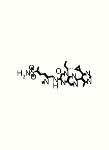 C=N/C(=C\C=C(/C)S(N)(=O)=O)CNc1nc2cnc(-c3c(C)ncnc3C3CC3)nc2n([C@@H](C)CC)c1=O